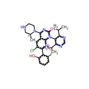 CC(C)c1ncnc(C(C)C)c1-n1c(=O)nc(N2CCNC[C@@H]2C)c2cc(Cl)c(-c3c(O)cccc3F)[n+]([O-])c21